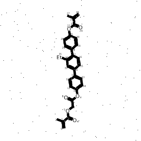 C=C(C)C(=O)OCC(=O)Oc1ccc(-c2ccc(-c3ccc(OC(=O)C(=C)C)cc3)c(CC)c2)cc1